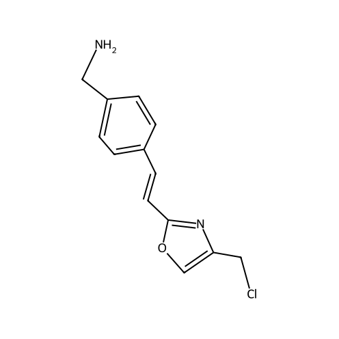 NCc1ccc(C=Cc2nc(CCl)co2)cc1